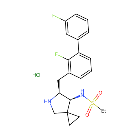 CCS(=O)(=O)N[C@@H]1[C@H](Cc2cccc(-c3cccc(F)c3)c2F)NCC12CC2.Cl